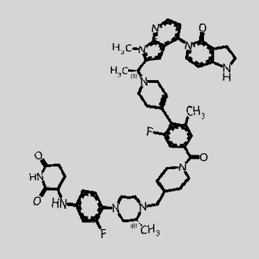 Cc1cc(C(=O)N2CCC(CN3CCN(c4ccc(NC5CCC(=O)NC5=O)cc4F)C[C@H]3C)CC2)cc(F)c1C1=CCN([C@@H](C)c2cc3c(-n4ccc5c(c4=O)CCN5)ccnc3n2C)CC1